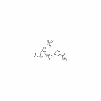 CC(C)C[C@H](CNC(=O)OC[n+]1cccc(C(N)=O)c1)CC(=O)O.CS(=O)(=O)[O-]